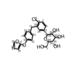 OC[C@H]1O[C@@H](c2ccc(Cl)c(Cc3ccc(Oc4cnco4)cc3)c2)[C@H](O)C(O)[C@@H]1O